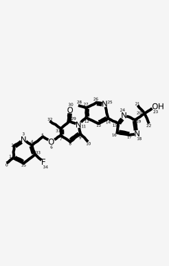 Cc1cnc(COc2cc(C)n(-c3cc(-c4ccnc(C(C)(C)O)n4)ncc3C)c(=O)c2C)c(F)c1